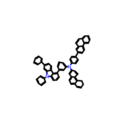 C1=Cc2ccc3cc(N(c4ccc(-c5ccc6c(ccc7ccccc76)c5)cc4)c4cccc(-c5cccc6c5c5ccc(-c7ccccc7)cc5n6-c5ccccc5)c4)ccc3c2CC1